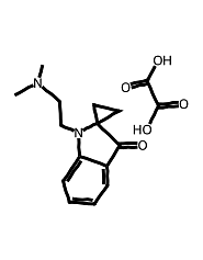 CN(C)CCN1c2ccccc2C(=O)C12CC2.O=C(O)C(=O)O